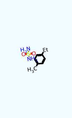 CCc1ccc(C)cc1.NS(N)(=O)=O